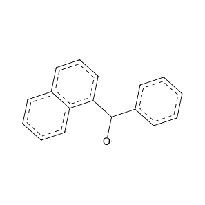 [O]C(c1ccccc1)c1cccc2ccccc12